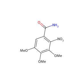 COc1cc(C(N)=O)c([N+](=O)[O-])c(OC)c1OC